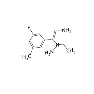 CCN(N)/C(=C\N)c1cc(C)cc(F)c1